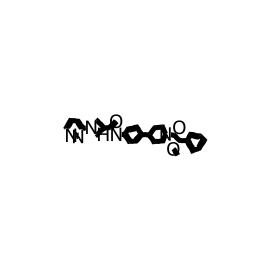 CO[C@H](C(=O)N1CCC(c2ccc(NC(=O)C3CN(c4cccnn4)C3)cc2)CC1)c1ccccc1